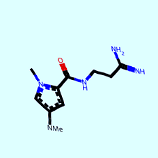 CNc1cc(C(=O)NCCC(=N)N)n(C)c1